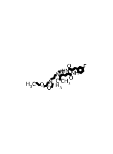 CCCOCC1CN(CCCn2cnc(/C=c3\[nH]c(=O)/c(=C/c4cccc(F)c4)[nH]c3=O)c2C(C)C)CCO1